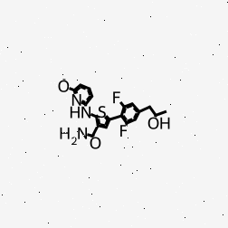 COc1cccc(Nc2sc(-c3c(F)cc(CC(C)O)cc3F)cc2C(N)=O)n1